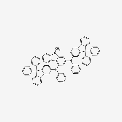 Cn1c2ccccc2c2c(N(c3ccccc3)c3ccc4c(c3)-c3ccccc3C4(c3ccccc3)c3ccccc3)cc(N(c3ccccc3)c3ccc4c(c3)C(c3ccccc3)(c3ccccc3)c3ccccc3-4)cc21